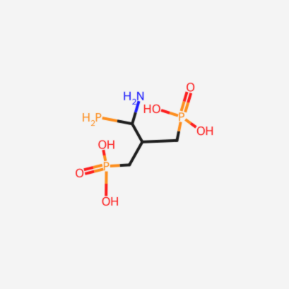 NC(P)C(CP(=O)(O)O)CP(=O)(O)O